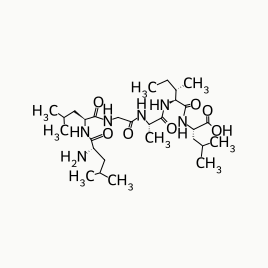 CC[C@H](C)[C@H](NC(=O)[C@H](C)NC(=O)CNC(=O)[C@H](CC(C)C)NC(=O)[C@@H](N)CC(C)C)C(=O)N[C@@H](CC(C)C)C(=O)O